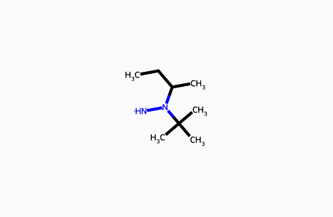 CCC(C)N([NH])C(C)(C)C